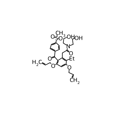 C=CCOc1cc(OCC=C)c(C(=O)c2ccc(S(C)(=O)=O)cc2)c(CC(=O)N(CCO)CCO)c1CC